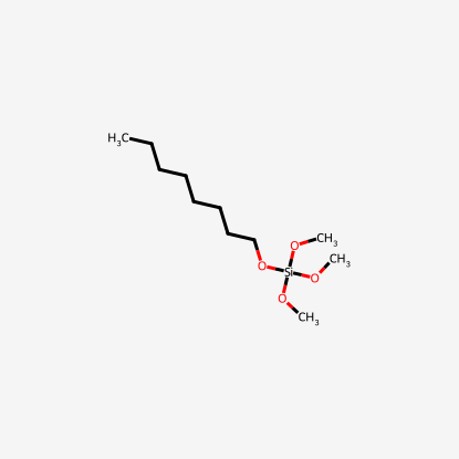 CCCCCCCCO[Si](OC)(OC)OC